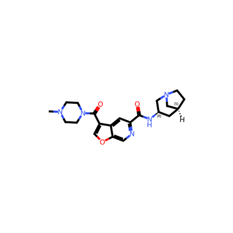 CN1CCN(C(=O)c2coc3cnc(C(=O)N[C@@H]4C[C@@H]5CCN(C5)C4)cc23)CC1